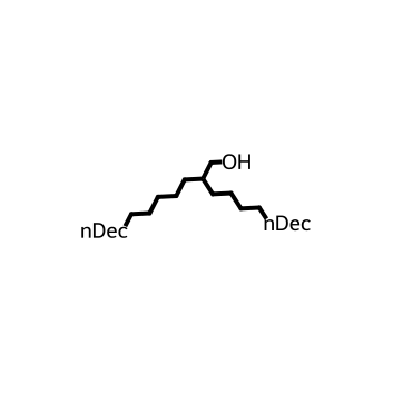 CCCCCCCCCCCCCCCC(CO)CCCCCCCCCCCCCC